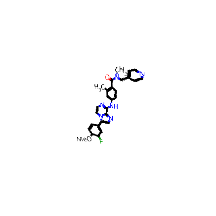 COC1C=CC(c2cnc3c(Nc4ccc(C(=O)N(C)Cc5ccncc5)c(C)c4)nccn23)=CC1F